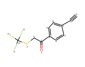 C#Cc1ccc(C(=O)CSC(F)(F)F)cc1